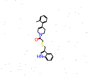 Cc1ccccc1C1=CCN(C(=O)CSCc2c[nH]c3ccccc23)CC1